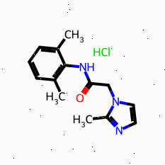 Cc1cccc(C)c1NC(=O)Cn1ccnc1C.Cl